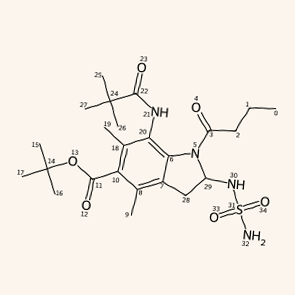 CCCC(=O)N1c2c(c(C)c(C(=O)OC(C)(C)C)c(C)c2NC(=O)C(C)(C)C)CC1NS(N)(=O)=O